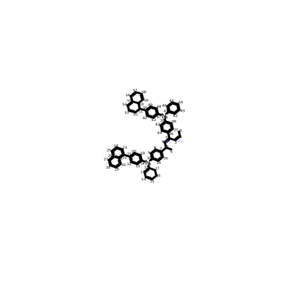 C/C=C\C(=C/C(C)c1ccc(N(C2=CC=CCC2)c2ccc(-c3cccc4ccccc34)cc2)cc1)c1ccc(N(c2ccccc2)c2ccc(C3C=CC=C4C=CC=CC43)cc2)cc1